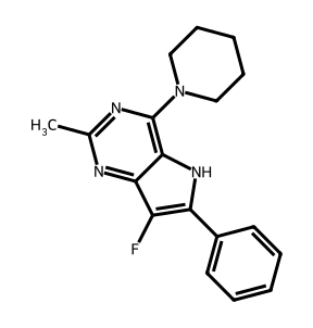 Cc1nc(N2CCCCC2)c2[nH]c(-c3ccccc3)c(F)c2n1